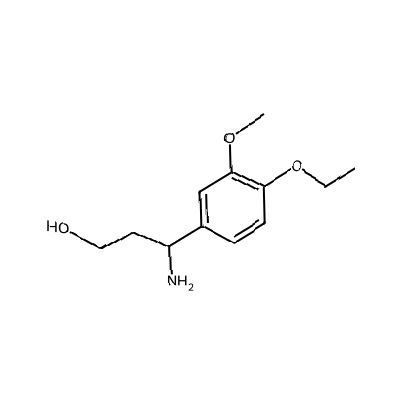 CCOc1ccc(C(N)CCO)cc1OC